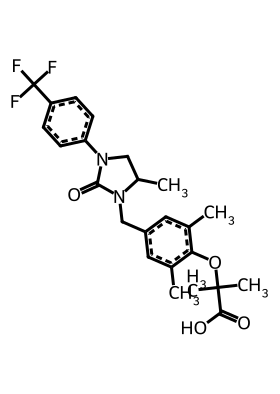 Cc1cc(CN2C(=O)N(c3ccc(C(F)(F)F)cc3)CC2C)cc(C)c1OC(C)(C)C(=O)O